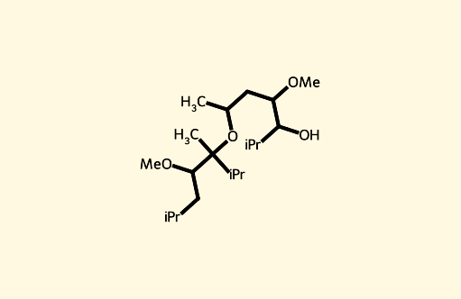 COC(CC(C)OC(C)(C(C)C)C(CC(C)C)OC)C(O)C(C)C